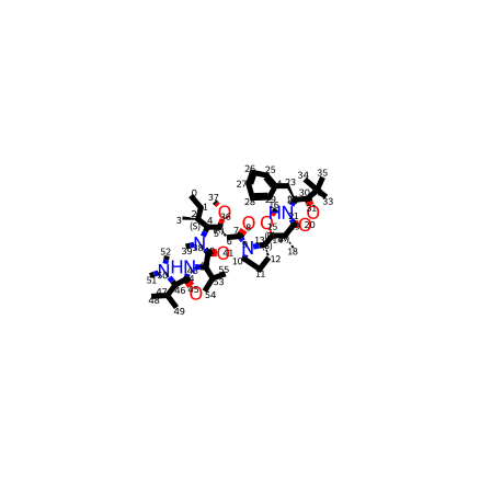 CC[C@H](C)C([C@@H](CC(=O)N1CCC[C@H]1[C@H](OC)[C@@H](C)C(=O)N[C@@H](Cc1ccccc1)C(=O)C(C)(C)C)OC)N(C)C(=O)C(NC(=O)C(C(C)C)N(C)C)C(C)C